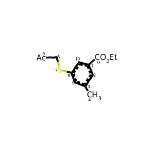 CCOC(=O)c1cc(C)cc(SCC(C)=O)c1